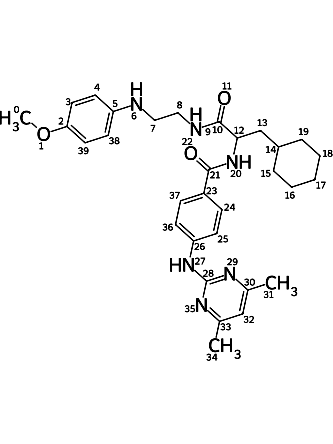 COc1ccc(NCCNC(=O)C(CC2CCCCC2)NC(=O)c2ccc(Nc3nc(C)cc(C)n3)cc2)cc1